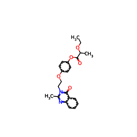 CCOC(C)C(=O)Oc1ccc(OCCn2c(C)nc3ccccc3c2=O)cc1